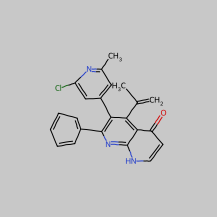 C=C(C)c1c(-c2cc(C)nc(Cl)c2)c(-c2ccccc2)nc2[nH]ccc(=O)c12